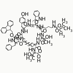 C[C@@H](O)[C@H](NC(=O)[C@@H]1CSSC[C@H](NC(=O)[C@@H](Cc2ccccc2)NC(=O)OCC2c3ccccc3-c3ccccc32)C(=O)N[C@@H](Cc2ccc(O)cc2)C(=O)N[C@H](Cc2c[nH]c3ccccc23)C(=O)N[C@@H](CCCCNC(=O)OC(C)(C)C)C(=O)N[C@@H]([C@@H](C)O)C(=O)N1)C(=O)O